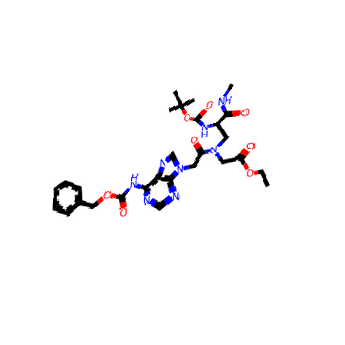 CCOC(=O)CN(CC(NC(=O)OC(C)(C)C)C(=O)NC)C(=O)Cn1cnc2c(NC(=O)OCc3ccccc3)ncnc21